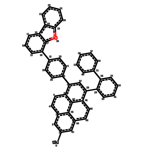 CC(C)(C)c1cc2ccc3c(-c4ccc(-c5cccc6c5oc5ccccc56)cc4)cc(-c4ccccc4-c4ccccc4)c4ccc(c1)c2c34